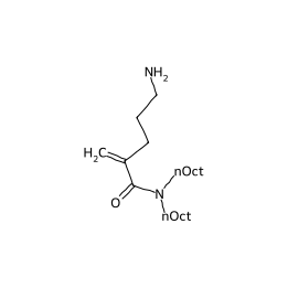 C=C(CCCN)C(=O)N(CCCCCCCC)CCCCCCCC